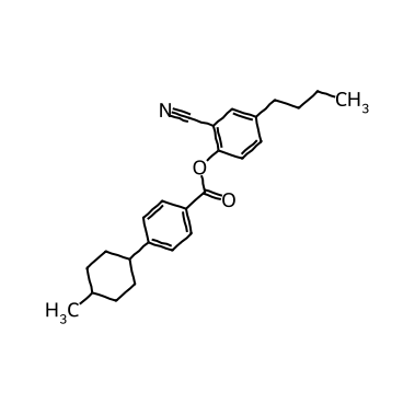 CCCCc1ccc(OC(=O)c2ccc(C3CCC(C)CC3)cc2)c(C#N)c1